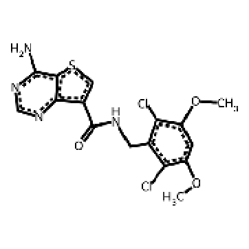 COc1cc(OC)c(Cl)c(CNC(=O)c2csc3c(N)ncnc23)c1Cl